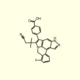 CC(C)(CC#N)c1c(-c2ccc(C(=O)O)cc2)c2cc3[nH]ncc3c3c2n1Cc1c(F)cccc1-3